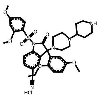 CCOc1ccc(OC)cc1C1(N2CCN(C3CCNCC3)CC2)C(=O)N(S(=O)(=O)c2ccc(OC)cc2OC)c2ccc(C#N)cc21.Cl